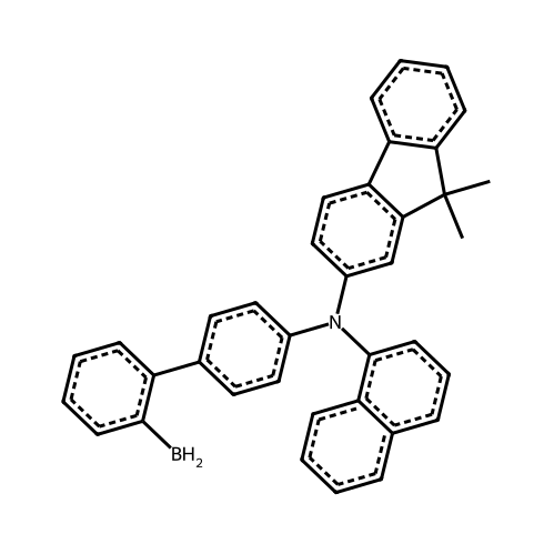 Bc1ccccc1-c1ccc(N(c2ccc3c(c2)C(C)(C)c2ccccc2-3)c2cccc3ccccc23)cc1